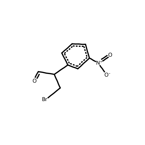 O=CC(CBr)c1cccc([N+](=O)[O-])c1